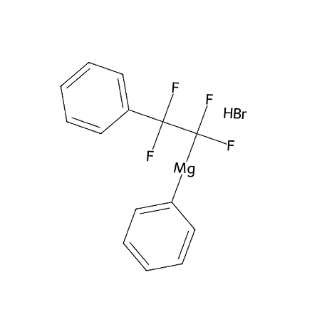 Br.F[C](F)([Mg][c]1ccccc1)C(F)(F)c1ccccc1